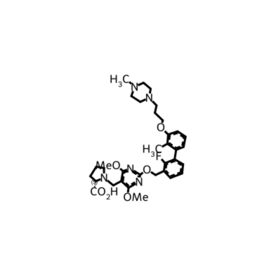 COc1nc(OCc2cccc(-c3cccc(OCCCN4CCN(C)CC4)c3C)c2F)nc(OC)c1CN1CCC[C@H]1C(=O)O